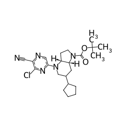 CC(C)(C)OC(=O)N1CC[C@@H]2[C@H]1CC(C1CCCC1)CN2c1cnc(C#N)c(Cl)n1